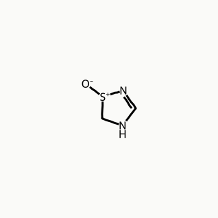 [O-][S+]1CNC=N1